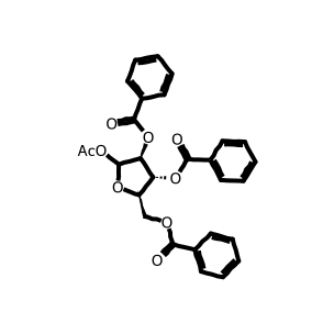 CC(=O)OC1O[C@H](COC(=O)c2ccccc2)[C@@H](OC(=O)c2ccccc2)[C@@H]1OC(=O)c1ccccc1